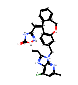 CCc1nc2c(Cl)cc(C)nc2n1Cc1ccc2c(c1)OCc1ccccc1C2=C(C)c1noc(=O)[nH]1